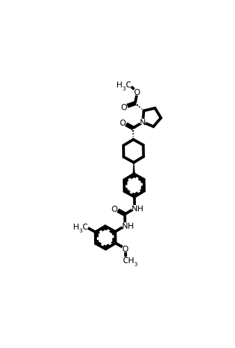 COC(=O)[C@@H]1CCCN1C(=O)[C@H]1CC[C@H](c2ccc(NC(=O)Nc3cc(C)ccc3OC)cc2)CC1